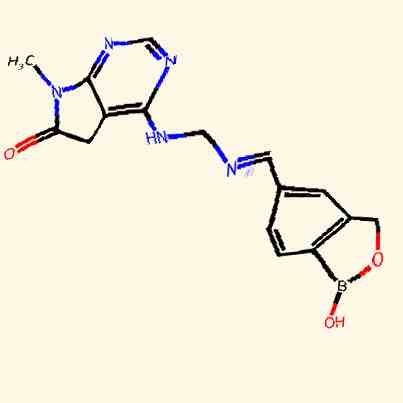 CN1C(=O)Cc2c(NC/N=C/c3ccc4c(c3)COB4O)ncnc21